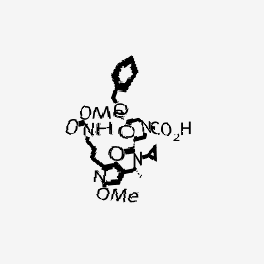 COC(=O)NCCCc1cc([C@@H](C)N(C(=O)[C@H]2CN(C(=O)O)C[C@@H](COCc3ccccc3)O2)C2CC2)cc(OC)n1